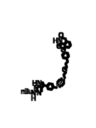 CCCCNc1ncc2c(-c3ccc(CN4CCN(CCCOCCCc5ccc(Oc6cccc7c6C(=O)NC(=O)C7)cc5)CC4)cc3)c[nH]c2n1